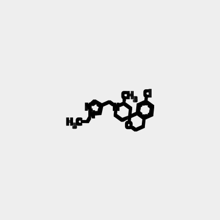 CCn1cc(CN2CC[C@]3(C[C@@H]2C)OCCc2ccc(Cl)cc23)cn1